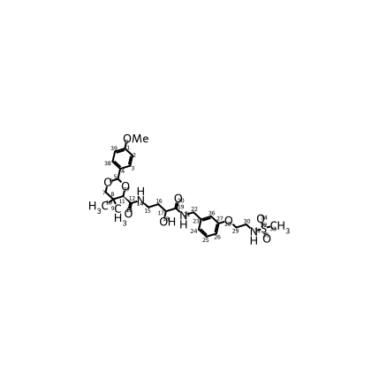 COc1ccc(C2OCC(C)(C)[C@H](C(=O)NCCC(O)C(=O)NCc3cccc(OCCNS(C)(=O)=O)c3)O2)cc1